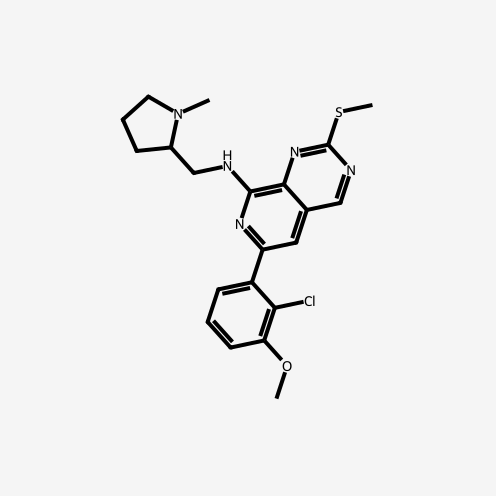 COc1cccc(-c2cc3cnc(SC)nc3c(NCC3CCCN3C)n2)c1Cl